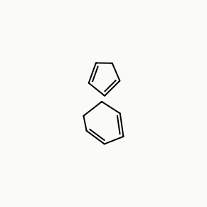 C1=CCC=C1.C1=CCCC=C1